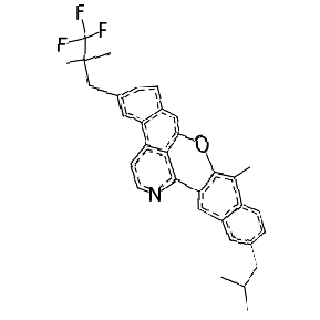 Cc1c2c(cc3cc(CC(C)C)ccc13)-c1nccc3c1c(cc1ccc(CC(C)(C)C(F)(F)F)cc13)O2